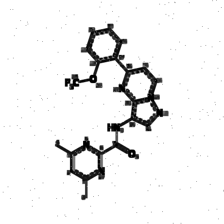 Cc1cc(C)nc(C(=O)Nc2cnn3ccc(-c4ccccc4OC(F)(F)F)nc23)n1